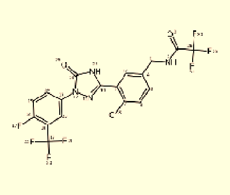 O=C(NCc1ccc(Cl)c(-c2nn(-c3ccc(F)c(C(F)(F)F)c3)c(=O)[nH]2)c1)C(F)(F)F